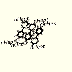 CCCCCCCC1CSC(c2ccc(OCCCCCC)cc2)SC1.CCCCCCCCOc1ccc(C2SCC(CCCCCCC)CS2)cc1.CCCCCCCOc1ccc(C2SCC(CCCCCCC)CS2)cc1